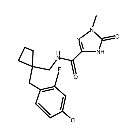 Cn1nc(C(=O)NCC2(Cc3ccc(Cl)cc3F)CCC2)[nH]c1=O